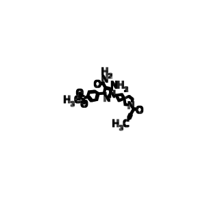 CC#CC(=O)N1CC[C@]2(C1)C[C@H](n1nc(-c3ccc(S(C)(=O)=O)cc3)c(C(N)=O)c1N)C2